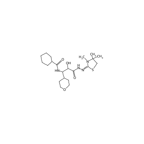 CN1C(=NNC(=O)C(O)C(NC(=O)C2CCCCC2)C2CCOCC2)SCC1(C)C